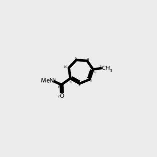 CNC(=O)C1=CC=C(C)CCC1